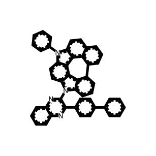 c1ccc(-c2ccc(-c3nc4ccccc4nc3-n3c4cccc5c4c4c6c7c8c-5cccc8ccc7n(-c5ccccc5)c6ccc43)cc2)cc1